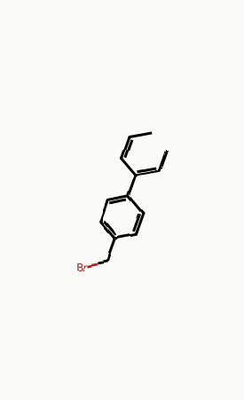 C/C=C\C(=C/C)c1ccc(CBr)cc1